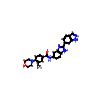 O=C(Nc1ccc2[nH]c(-c3ccc4cn[nH]c4c3)nc2c1)c1ccc(N2CCOCC2)c(C(F)(F)F)c1